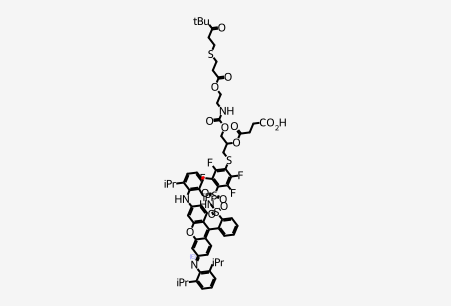 CC(C)c1cccc(C(C)C)c1/N=c1\ccc2c(-c3ccccc3S(=O)(=O)NS(=O)(=O)c3c(F)c(F)c(SCC(COC(=O)NCCOC(=O)CCSCCC(=O)C(C)(C)C)OC(=O)CCC(=O)O)c(F)c3F)c3ccc(Nc4c(C(C)C)cccc4C(C)C)cc3oc-2c1